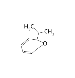 CC(C)C12C=CC=CC1O2